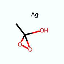 CC1(O)OO1.[Ag]